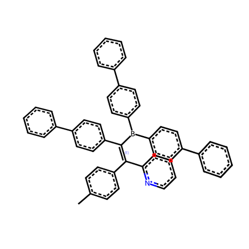 Cc1ccc(/C(=C(/B(c2ccc(-c3ccccc3)cc2)c2ccc(-c3ccccc3)cc2)c2ccc(-c3ccccc3)cc2)c2ccccn2)cc1